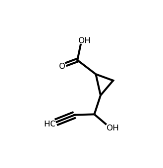 C#CC(O)C1CC1C(=O)O